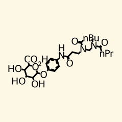 CCCCC(=O)N(CCC(=O)Nc1ccc(OC2OC(C(=O)O)C(O)C(O)C2O)cc1)CN(C)C(=O)CCC